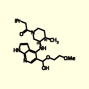 COCCOC(O)c1cnc2[nH]ccc2c1N[C@H]1CN(C(=O)CC(C)C)CC[C@H]1C